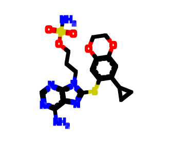 Nc1ncnc2c1nc(Sc1cc3c(cc1C1CC1)OCCO3)n2CCCOS(N)(=O)=O